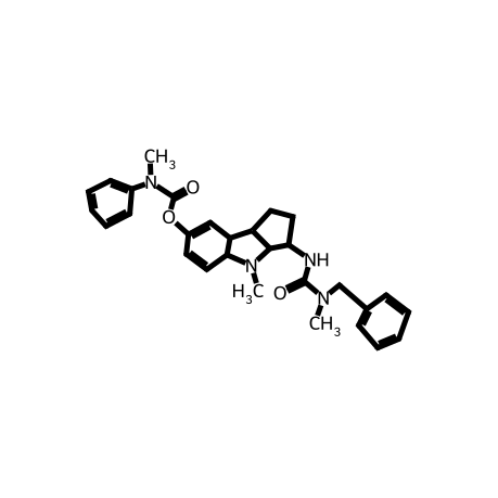 CN(Cc1ccccc1)C(=O)NC1CCC2C3C=C(OC(=O)N(C)c4ccccc4)C=CC3N(C)C12